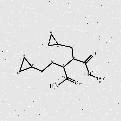 CC(C)(C)NC(=O)C(CC1CC1)C(CCC1CC1)C(N)=O